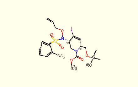 C=CCON([C@H]1CN(C(=O)OC(C)(C)C)[C@H](CO[Si](C)(C)C(C)(C)C)C=C1I)S(=O)(=O)c1ccccc1[N+](=O)[O-]